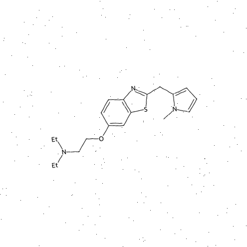 CCN(CC)CCOc1ccc2nc(Cc3cccn3C)sc2c1